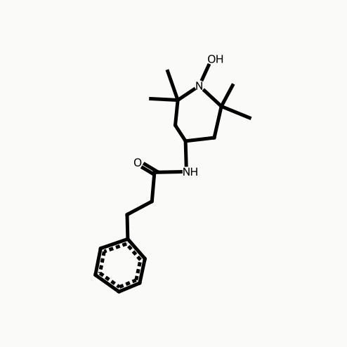 CC1(C)CC(NC(=O)CCc2ccccc2)CC(C)(C)N1O